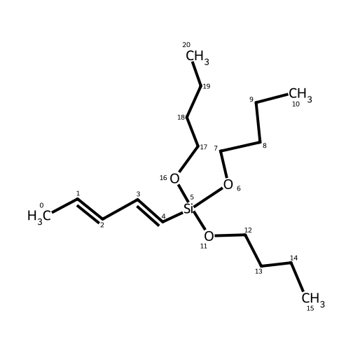 CC=CC=C[Si](OCCCC)(OCCCC)OCCCC